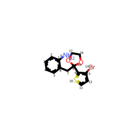 Nc1ccccc1CC1(c2sccc2Br)OCCO1